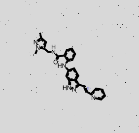 Cc1cc(CNC(=O)c2ccccc2Nc2ccc3c(/C=C/c4ccccn4)n[nH]c3c2)n(C)n1